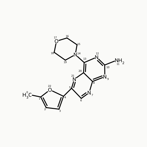 Cc1ccc(-c2cnc3nc(N)nc(N4CCOCC4)c3n2)o1